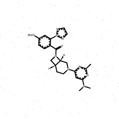 COc1ccc(C(=O)N2C[C@H]3CCN(c4cc(N(C)C)nc(C)n4)C[C@H]32)c(-n2nccn2)c1